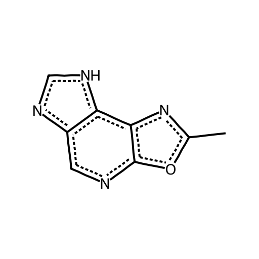 Cc1nc2c(ncc3nc[nH]c32)o1